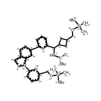 CC(C)(C)[S@@+]([O-])NC(c1cccc(-c2ccc3cnn(-c4cccc(CO[Si](C)(C)C(C)(C)C)n4)c3c2)n1)C1CC(CO[Si](C)(C)C(C)(C)C)C1